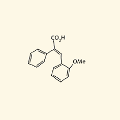 COc1ccccc1C=C(C(=O)O)c1ccccc1